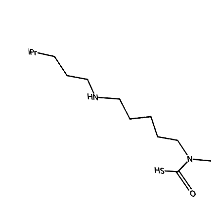 CC(C)CCCNCCCCCN(C)C(=O)S